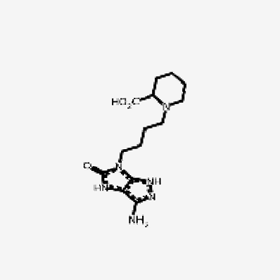 Nc1n[nH]c2c1[nH]c(=O)n2CCCCN1CCCCC1C(=O)O